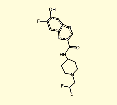 O=C(NC1CCN(CC(F)F)CC1)c1cnc2cc(O)c(F)cc2c1